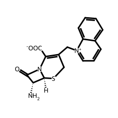 N[C@@H]1C(=O)N2C(C(=O)[O-])=C(C[n+]3cccc4ccccc43)CS[C@@H]12